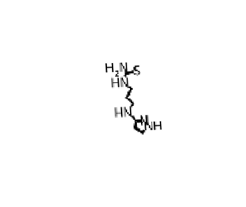 NC(=S)NCCCNc1cc[nH]n1